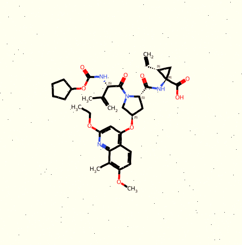 C=C[C@@H]1C[C@]1(NC(=O)[C@@H]1C[C@@H](Oc2cc(OCC)nc3c(C)c(OC)ccc23)CN1C(=O)[C@@H](NC(=O)OC1CCCC1)C(=C)C)C(=O)O